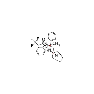 Cc1nc2ccccc2n1C1CC2CCC(C1)N2CC[C@H](NC(=O)CC(F)(F)F)c1ccccc1